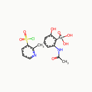 CC(=O)Nc1cccc(O)c1[As](=O)(O)O.Cc1ncccc1S(=O)(=O)Cl